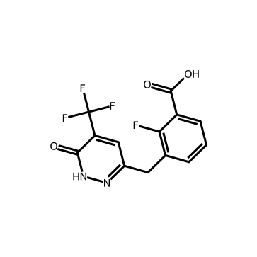 O=C(O)c1cccc(Cc2cc(C(F)(F)F)c(=O)[nH]n2)c1F